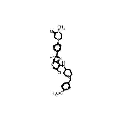 COc1ccc(CN2CCC(Nc3c(Cl)cnc4[nH]c(-c5ccc(N6CCN(C)C(=O)C6)cc5)nc34)CC2)cc1